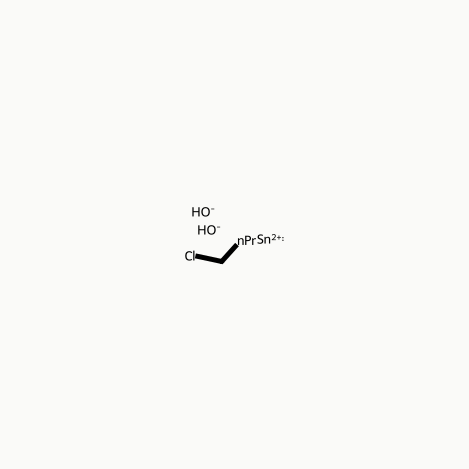 [CH2]CCCCl.[OH-].[OH-].[Sn+2]